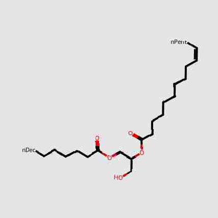 CCCCC/C=C\CCCCCCCCC(=O)OC(CO)COC(=O)CCCCCCCCCCCCCCC